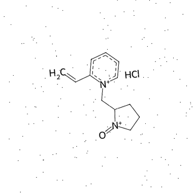 C=Cc1cccc[n+]1CC1CCC[N+]1=O.Cl